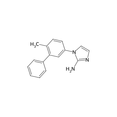 Cc1ccc(-n2ccnc2N)cc1-c1ccccc1